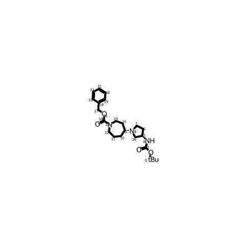 CC(C)(C)OC(=O)N[C@@H]1CCN([C@@H]2CCCN(C(=O)OCc3ccccc3)CC2)C1